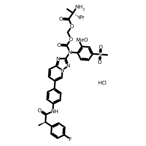 COc1cc(S(C)(=O)=O)ccc1N(C(=O)OCOC(=O)[C@@](C)(N)C(C)C)c1nc2ccc(-c3ccc(NC(=O)[C@H](C)c4ccc(F)cc4)cc3)cn2n1.Cl